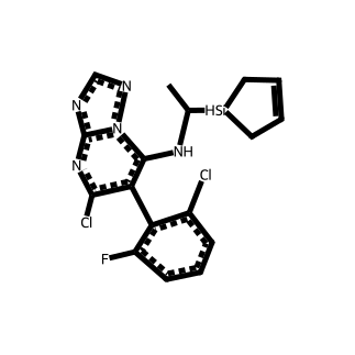 CC(Nc1c(-c2c(F)cccc2Cl)c(Cl)nc2ncnn12)[SiH]1CC=CC1